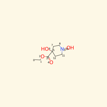 CCOC(=O)C1(O)CCN(O)CC1